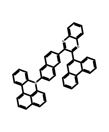 c1ccc2c(c1)-c1cccc3cccc(c13)N2c1ccc2cc(-c3nc4ccccc4nc3-c3cc4ccccc4c4ccccc34)ccc2c1